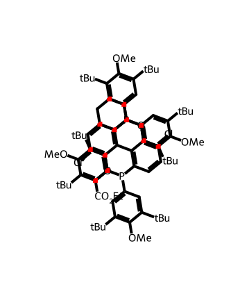 CCOC(=O)COc1c(Cl)ccc(P(c2cc(C(C)(C)C)c(OC)c(C(C)(C)C)c2)c2cc(C(C)(C)C)c(OC)c(C(C)(C)C)c2)c1-c1c(P(c2cc(C(C)(C)C)c(OC)c(C(C)(C)C)c2)c2cc(C(C)(C)C)c(OC)c(C(C)(C)C)c2)ccc(Cl)c1OC1CCCCC1